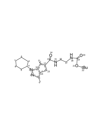 Cc1nn(C2CCCCC2)c2sc(C(=O)NCCNC(=O)OC(C)(C)C)cc12